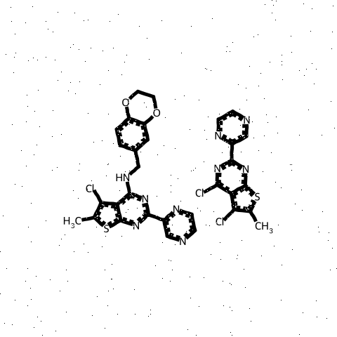 Cc1sc2nc(-c3cnccn3)nc(Cl)c2c1Cl.Cc1sc2nc(-c3cnccn3)nc(NCc3ccc4c(c3)OCCO4)c2c1Cl